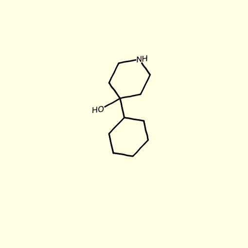 OC1(C2CCCCC2)CCNCC1